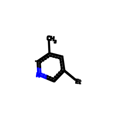 CCc1cn[c]c(C)c1